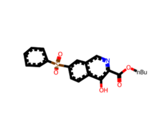 CCCCOC(=O)c1ncc2cc(S(=O)(=O)c3ccccc3)ccc2c1O